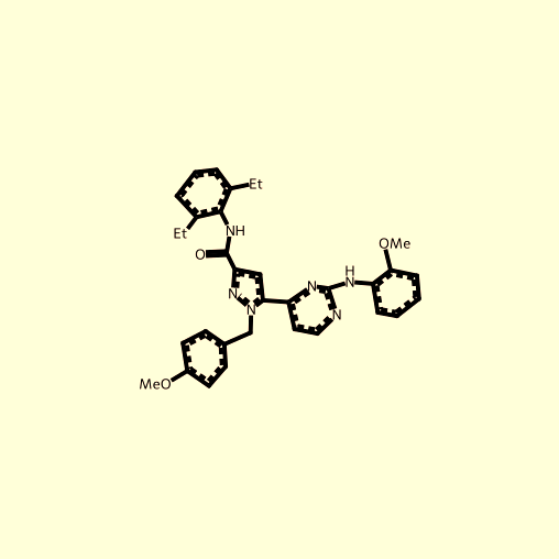 CCc1cccc(CC)c1NC(=O)c1cc(-c2ccnc(Nc3ccccc3OC)n2)n(Cc2ccc(OC)cc2)n1